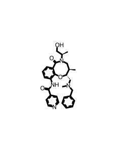 C[C@@H]1CN([C@H](C)CO)C(=O)c2cccc(NC(=O)c3ccncc3)c2O[C@H]1CN(C)Cc1ccccc1